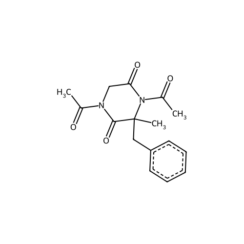 CC(=O)N1CC(=O)N(C(C)=O)C(C)(Cc2ccccc2)C1=O